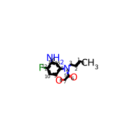 CC=CCN1C(=O)COc2cc(F)c(N)cc21